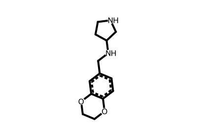 c1cc2c(cc1CNC1CCNC1)OCCO2